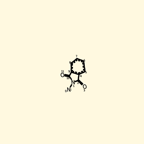 [N]N1C(=O)c2ccccc2C1=O